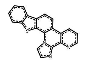 c1ccc2c(c1)sc1c2ccc2c3cccnc3c3nccn3c21